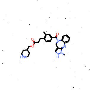 Cc1cc(C(=O)N2CC3=CNN(C)C3=Nc3ccccc32)ccc1CCC(=O)OCC1CCNCC1